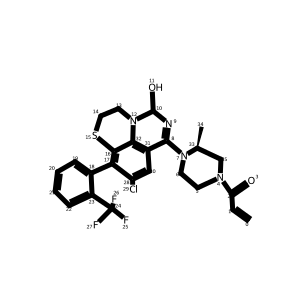 C=CC(=O)N1CCN(C2=NC(O)N3CCSc4c(-c5ccccc5C(F)(F)F)c(Cl)cc2c43)[C@@H](C)C1